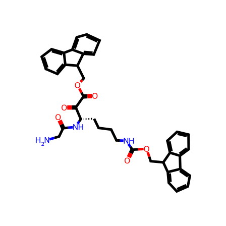 NCC(=O)N[C@@H](CCCCNC(=O)OCC1c2ccccc2-c2ccccc21)C(=O)C(=O)OCC1c2ccccc2-c2ccccc21